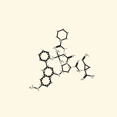 C=CC1C[C@@]1(NC(=O)[C@@H]1C[C@@H](Oc2cc(-c3ccccc3)nc3cc(OC)ccc23)CN1C(=O)[C@@H](CC(=O)N1CCCCC1)C(C)(C)C)C(=O)O